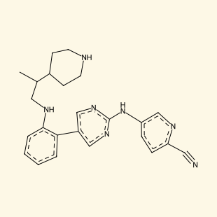 CC(CNc1ccccc1-c1cnc(Nc2ccc(C#N)nc2)nc1)C1CCNCC1